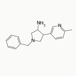 Cc1ccc(C2CN(Cc3ccccc3)CC2N)cn1